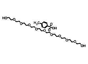 Cc1ccc(S(=O)(=O)O)cc1.OCCOCCOCCOCCOCCOCCOCCOCCOCCOCCO